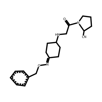 N#CC1CCCN1C(=O)CNC1CCC(=NOCc2ccccc2)CC1